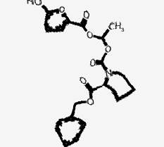 CC(OC(=O)c1ccc(O)o1)OC(=O)N1CCC[C@H]1C(=O)OCc1ccccc1